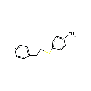 Cc1ccc(SCCc2ccccc2)cc1